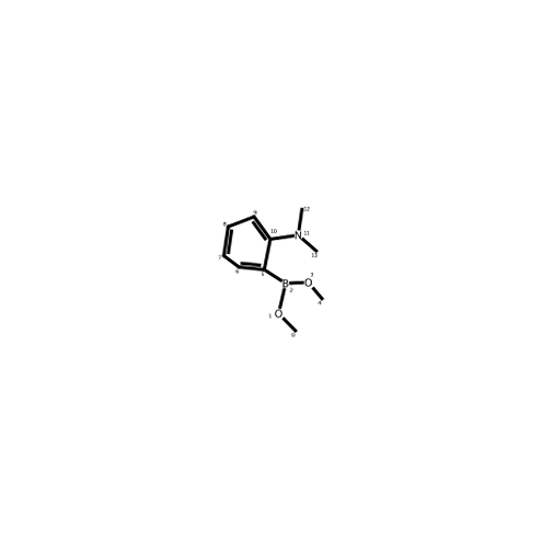 COB(OC)c1ccccc1N(C)C